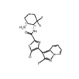 N[C@@H]1CCCC(F)(F)[C@@H]1NC(=O)c1nc(-c2c(F)nn3ccccc23)c(Cl)s1